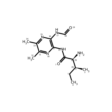 CC[C@H](C)[C@H](N)C(=O)Nc1nc(C)c(C)nc1NC=O